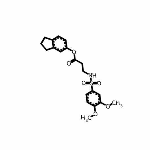 COc1ccc(S(=O)(=O)NCCC(=O)Oc2ccc3c(c2)CCC3)cc1OC